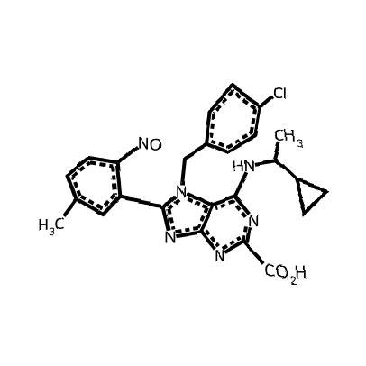 Cc1ccc(N=O)c(-c2nc3nc(C(=O)O)nc(NC(C)C4CC4)c3n2Cc2ccc(Cl)cc2)c1